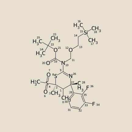 CC1[C@@](C)(S(C)(=O)=O)SC(N(COCC[Si](C)(C)C)C(=O)OC(C)(C)C)=N[C@]1(C)c1cccc(F)c1F